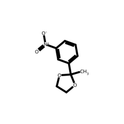 CC1(c2cccc([N+](=O)[O-])c2)OCCO1